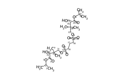 CC(C)OC(=O)[C@@H](O)C(C)(C)COS(=O)(=O)CCCS(=O)(=O)OCC(C)(C)[C@H](O)C(=O)OC(C)C